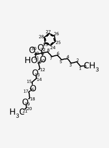 CCCCCCCCCC(OCCOCCOCCOCC)(Oc1ccccc1)C(=O)O